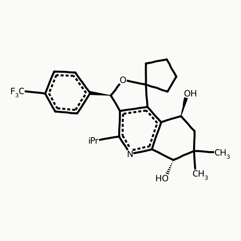 CC(C)c1nc2c(c3c1[C@@H](c1ccc(C(F)(F)F)cc1)OC31CCCC1)[C@@H](O)CC(C)(C)[C@@H]2O